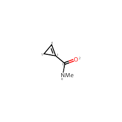 CNC(=O)C1=CC1